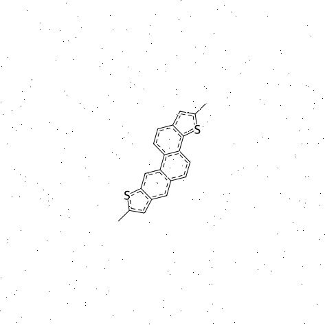 Cc1cc2cc3ccc4c(ccc5cc(C)sc54)c3cc2s1